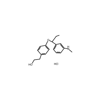 CCC(Oc1ccc(CCO)cc1)c1cccc(NC)c1.Cl